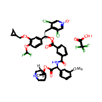 COc1cccc(C(NC(=O)c2cccc(C(=O)O[C@@H](Cc3c(Cl)c[n+]([O-])cc3Cl)c3ccc(OC(F)F)c(OCC4CC4)c3)c2)C(=O)O[C@H]2CN3CCC2CC3)c1.O=C(O)C(F)(F)F